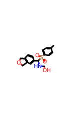 Cc1ccc(S(=O)(=O)C(NCO)c2ccc3c(c2)COC3)cc1